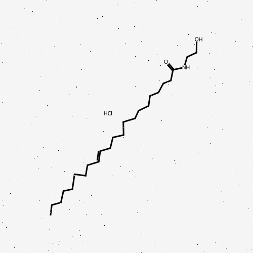 CCCCCCCCC=CCCCCCCCCCCCC(=O)NCCO.Cl